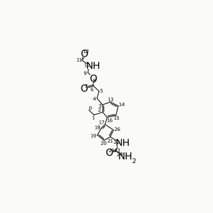 CCc1c(CCC(=O)OCNC=O)cccc1-c1cccc(NC(N)=O)c1